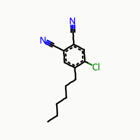 CCCCCCc1cc(C#N)c(C#N)cc1Cl